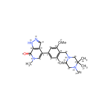 COc1cc(-c2cn(C)c(=O)c3[nH]ncc23)cc(OC)c1CN1CCN(C(C)C)C(C)(C)C1